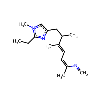 C=N/C(C)=C\C=C(/C)C(C)Cc1cn(C)c(CC)n1